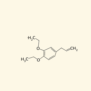 [CH2]COc1cc(CC=C)ccc1OCC